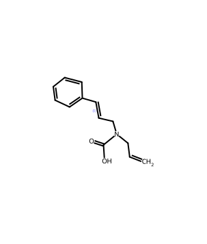 C=CCN(C/C=C/c1ccccc1)C(=O)O